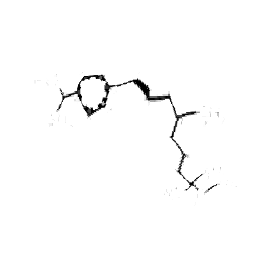 COC(C)(C)CCCC(C)C/C=C/c1ccc(C(C)C)cc1